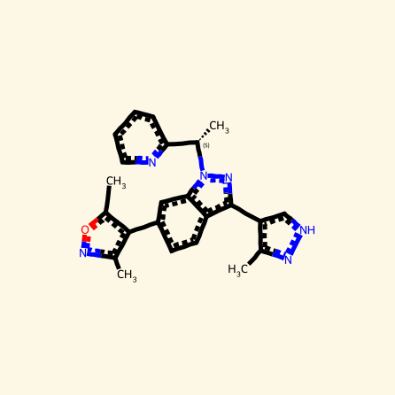 Cc1n[nH]cc1-c1nn([C@@H](C)c2ccccn2)c2cc(-c3c(C)noc3C)ccc12